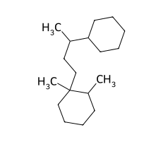 CC(CCC1(C)CCCCC1C)C1CCCCC1